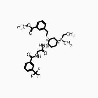 CCN(C)[C@@H]1CC[C@H](NC(=O)CNC(=O)c2cccc(C(F)(F)F)c2)[C@H](CCc2cccc(C(=O)OC)c2)C1